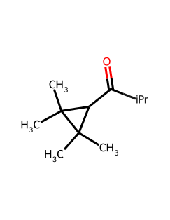 CC(C)C(=O)C1C(C)(C)C1(C)C